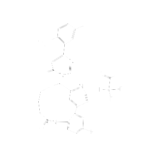 C[C@@H]1CCC[C@H](n2cnc(-c3cc(Cl)ccc3C(=O)O)cc2=O)c2cc(ccn2)-c2cc(F)ccc2NC1=O.O=C(O)C(F)(F)F